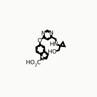 O=C(O)n1ccc2cc(Oc3cc(CNC4(CO)CC4)ncn3)ccc21